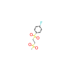 CS(=O)(=O)CCS(=O)(=O)c1ccc(F)cc1